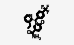 CCc1cccnc1[C@H](c1ccc(C(F)(F)F)cc1)n1cc(C(N)=O)ccc1=O